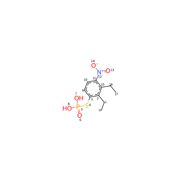 CCc1c(SP(=O)(O)O)ccc([N+](=O)[O-])c1CC